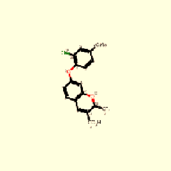 COc1ccc(Oc2ccc3c(c2)OC(C(F)(F)F)C(C(=O)O)=C3)c(Cl)c1